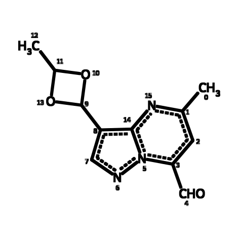 Cc1cc(C=O)n2ncc(C3OC(C)O3)c2n1